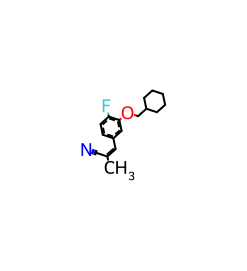 CC(C#N)=Cc1ccc(F)c(OCC2CCCCC2)c1